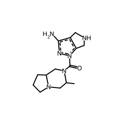 CC1CN2CCCC2CN1C(=O)n1nc(N)c2c1CNC2